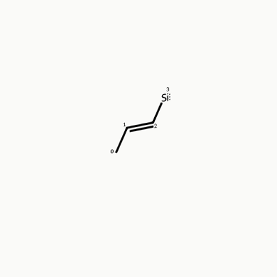 CC=C[Si]